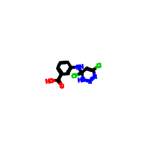 O=C(O)c1cccc(NC2(Cl)C=C(Cl)N=NN2)c1